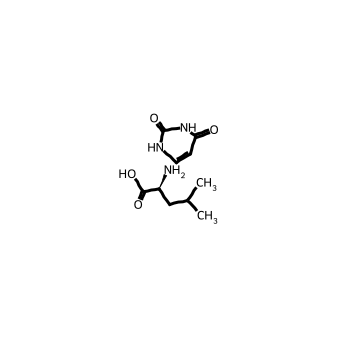 CC(C)C[C@H](N)C(=O)O.O=c1cc[nH]c(=O)[nH]1